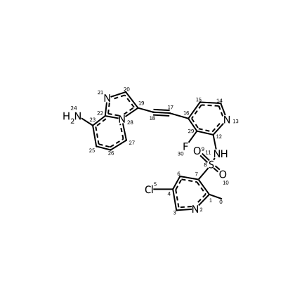 Cc1ncc(Cl)cc1S(=O)(=O)Nc1nccc(C#Cc2cnc3c(N)cccn23)c1F